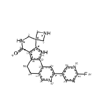 O=C1NCC2(CNC2)c2[nH]c3c(c21)CCc1cnc(-c2ccc(F)nc2)cc1-3